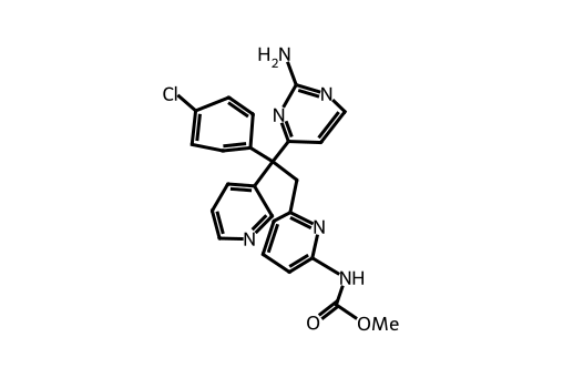 COC(=O)Nc1cccc(CC(c2ccc(Cl)cc2)(c2cccnc2)c2ccnc(N)n2)n1